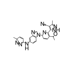 CC(=O)c1ccc(-n2cnc3cc(Nc4ccc(C)nn4)ccc32)nc1-c1[nH]nc(C)c1C#N